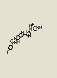 O=C(Nc1cc2cc(-c3cncc(N[C@H]4CCNC[C@@H]4F)n3)ncc2cn1)c1ccc(F)cc1